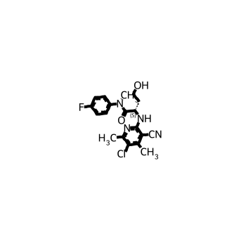 Cc1nc(N[C@@H](CCO)C(=O)N(C)c2ccc(F)cc2)c(C#N)c(C)c1Cl